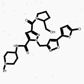 CC(C)N1CCC(NC(=O)c2cc(C(=O)N3CCCC3CO)nn2Cc2cc(-c3ccc(Cl)s3)on2)CC1